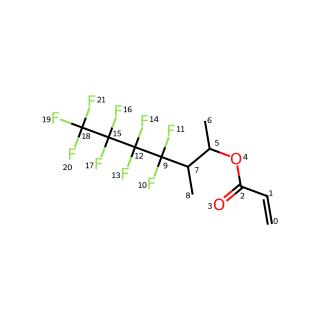 C=CC(=O)OC(C)C(C)C(F)(F)C(F)(F)C(F)(F)C(F)(F)F